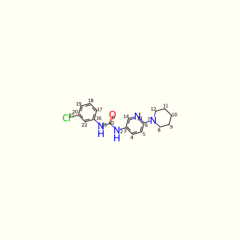 O=C(Nc1ccc(N2CCCCC2)nc1)Nc1cccc(Cl)c1